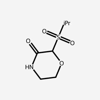 CC(C)S(=O)(=O)C1OCCNC1=O